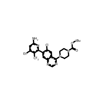 CCc1cc(N)nc(-c2cc3ncnc(N4CCN(C(=O)OC(C)(C)C)CC4)c3cc2Cl)c1C(F)(F)F